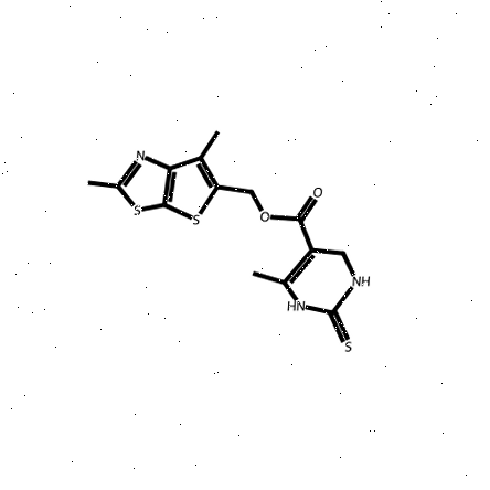 CC1=C(C(=O)OCc2sc3sc(C)nc3c2C)CNC(=S)N1